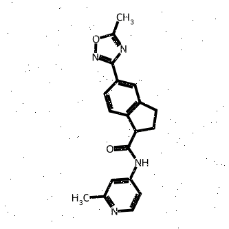 Cc1cc(NC(=O)C2CCc3cc(-c4noc(C)n4)ccc32)ccn1